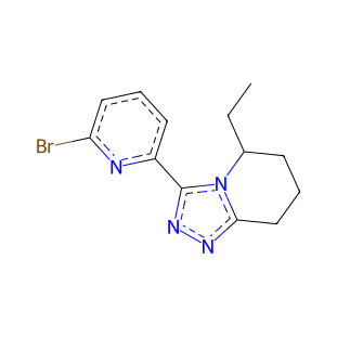 CCC1CCCc2nnc(-c3cccc(Br)n3)n21